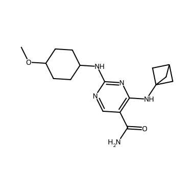 COC1CCC(Nc2ncc(C(N)=O)c(NC34CC(C3)C4)n2)CC1